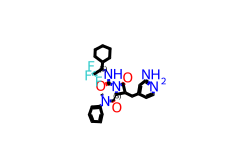 CN(C(=O)[C@@H]1C(Cc2ccnc(N)c2)C(=O)N1C(=O)N[C@@H](C1CCCCC1)C(F)(F)F)c1ccccc1